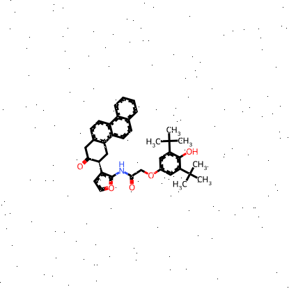 CC(C)(C)c1cc(OCC(=O)Nc2occc2[C@@H]2Cc3c(ccc4c3ccc3ccccc34)CC2=O)cc(C(C)(C)C)c1O